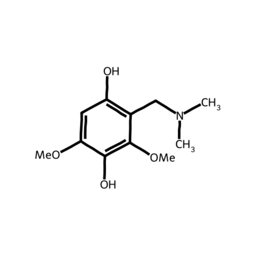 COc1cc(O)c(CN(C)C)c(OC)c1O